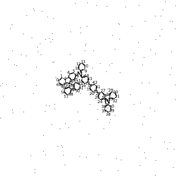 C1=CC2c3ccc(N(c4ccccc4)c4ccc(-c5ccc(-c6ccc7c(c6)c6ccccc6n7-c6ccccc6)cc5)cc4)cc3C(C3=CCCC=C3)(c3ccccc3)C2C=C1